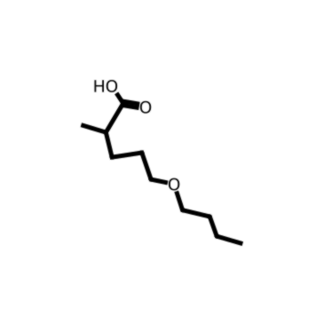 CCCCOCCCC(C)C(=O)O